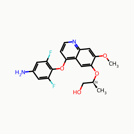 COc1cc2nccc(Oc3c(F)cc(N)cc3F)c2cc1O[C@@H](C)CO